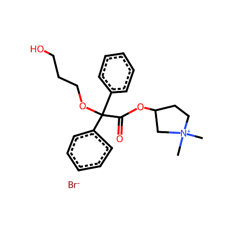 C[N+]1(C)CCC(OC(=O)C(OCCCO)(c2ccccc2)c2ccccc2)C1.[Br-]